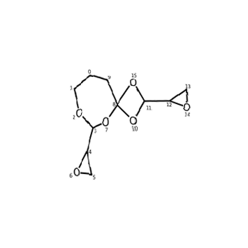 C1COC(C2CO2)OC2(C1)OC(C1CO1)O2